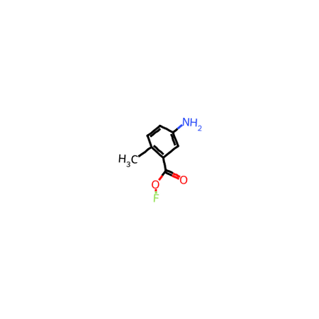 Cc1ccc(N)cc1C(=O)OF